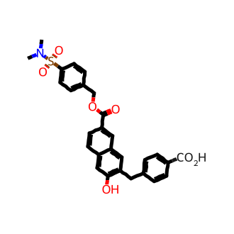 CN(C)S(=O)(=O)c1ccc(COC(=O)c2ccc3cc(O)c(Cc4ccc(C(=O)O)cc4)cc3c2)cc1